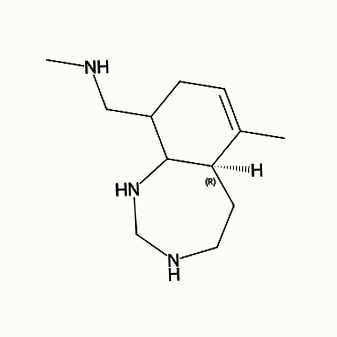 CNCC1CC=C(C)[C@H]2CCNCNC12